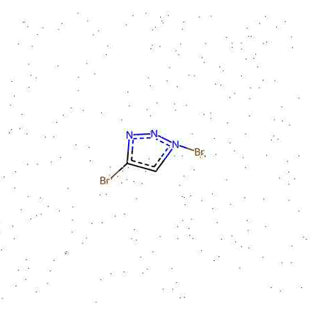 Brc1cn(Br)nn1